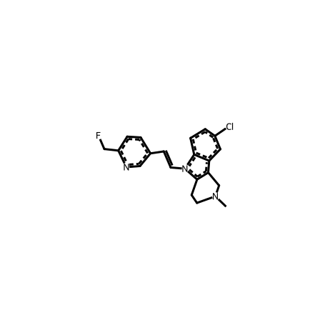 CN1CCc2c(c3cc(Cl)ccc3n2/C=C/c2ccc(CF)nc2)C1